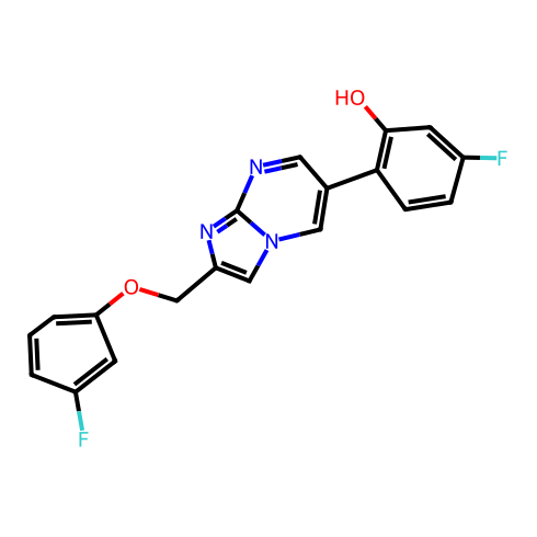 Oc1cc(F)ccc1-c1cnc2nc(COc3cccc(F)c3)cn2c1